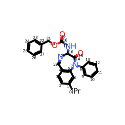 CC(C)c1ccc2c(c1)N(c1ccccc1)C(=O)C(NC(=O)OCc1ccccc1)N=C2